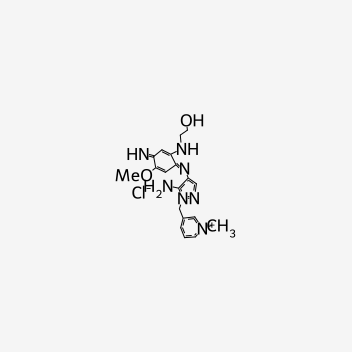 COC1=CC(=Nc2cnn(Cc3ccc[n+](C)c3)c2N)C(NCCO)=CC1=N.[Cl-]